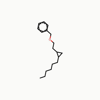 CCCCCCC1CC1CCOCc1ccccc1